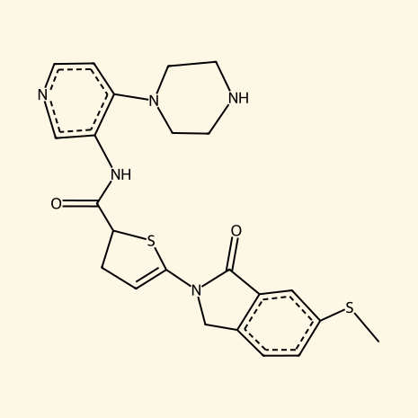 CSc1ccc2c(c1)C(=O)N(C1=CCC(C(=O)Nc3cnccc3N3CCNCC3)S1)C2